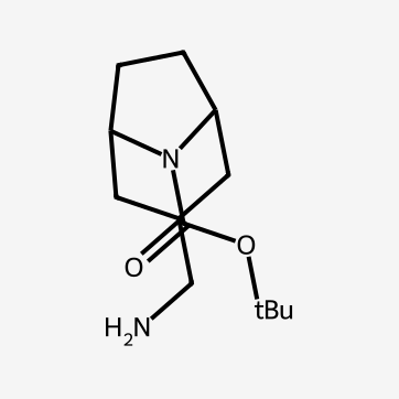 CC(C)(C)OC(=O)N1C2CCC1CC(CN)C2